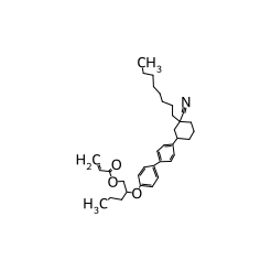 C=CC(=O)OCC(CCC)Oc1ccc(-c2ccc(C3CCCC(C#N)(CCCCCCCC)C3)cc2)cc1